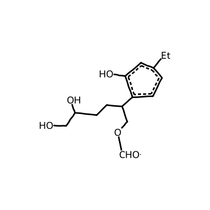 CCc1ccc(C(CCC(O)CO)CO[C]=O)c(O)c1